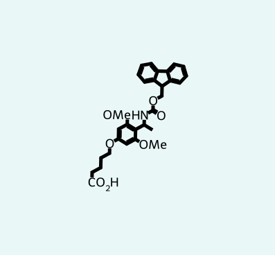 COc1cc(OCCCCC(=O)O)cc(OC)c1C(C)NC(=O)OCC1c2ccccc2-c2ccccc21